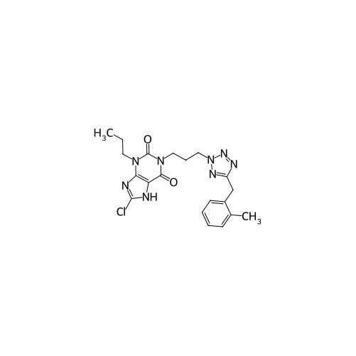 CCCn1c(=O)n(CCCn2nnc(Cc3ccccc3C)n2)c(=O)c2[nH]c(Cl)nc21